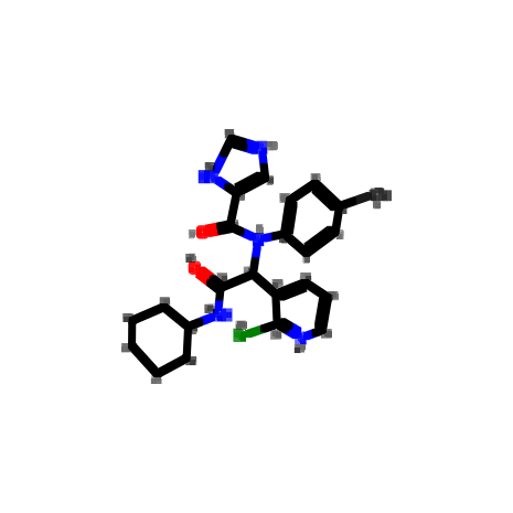 CC(C)(C)c1ccc(N(C(=O)c2cnc[nH]2)C(C(=O)NC2CCCCC2)c2cccnc2Br)cc1